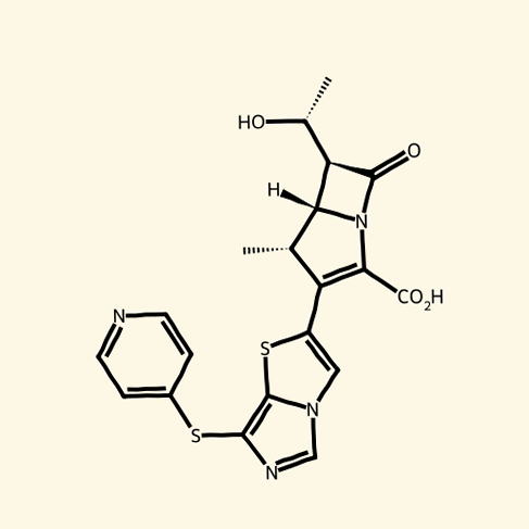 C[C@@H](O)[C@H]1C(=O)N2C(C(=O)O)=C(c3cn4cnc(Sc5ccncc5)c4s3)[C@H](C)[C@H]12